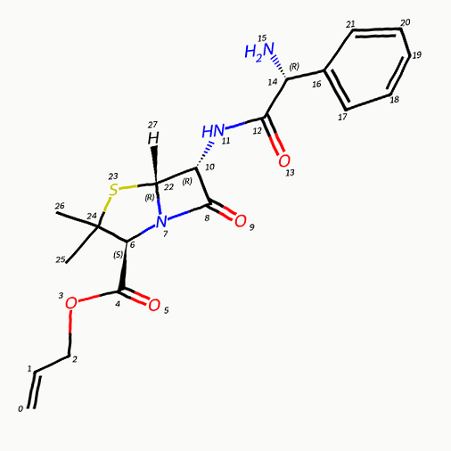 C=CCOC(=O)[C@@H]1N2C(=O)[C@@H](NC(=O)[C@H](N)c3ccccc3)[C@H]2SC1(C)C